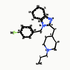 CC(=O)CCN1CCC(Cc2nc3ccccc3n2Cc2ccc(F)cc2)CC1